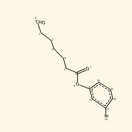 O=CCCCCCC(=O)Oc1cccc(Br)c1